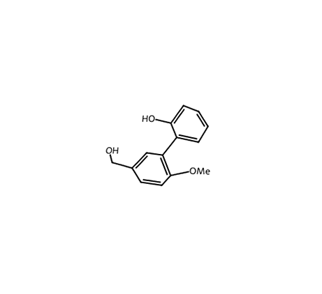 COc1ccc(CO)cc1-c1ccccc1O